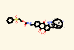 C[C@H]1C2C#C/C=C\C#C[C@H]3Nc4c(cc(O)c5c4C(=O)c4ccc(CNC(=O)OCCS(=O)(=O)c6ccccc6)cc4C5=O)[C@@]24C[C@@]314